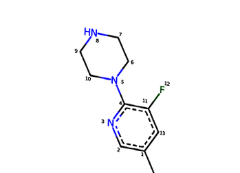 Cc1cnc(N2CCNCC2)c(F)c1